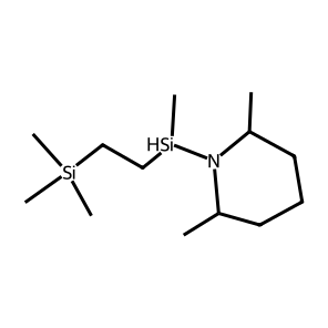 CC1CCCC(C)N1[SiH](C)CC[Si](C)(C)C